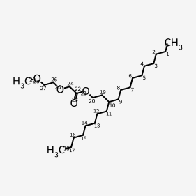 CCCCCCCCCCC(CCCCCCCC)CCOC(=O)COCCOC